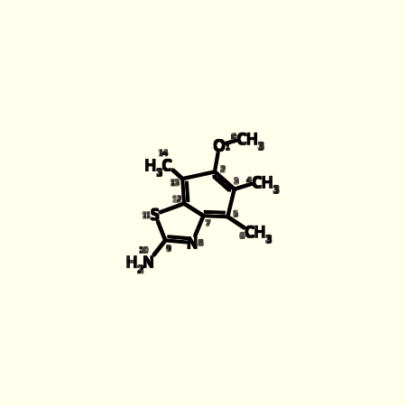 COc1c(C)c(C)c2nc(N)sc2c1C